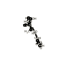 C#Cc1c(F)ccc2cc(O)cc(-c3ncc4c(N5CC6CCC(C5)N6)nc(OCC56CCC(COC(=O)NCCCC(=O)Nc7ccc8c(c7)C(=O)N(C7CCC(=O)NC7=O)C8=O)N5CC(=C)C6)nc4c3F)c12